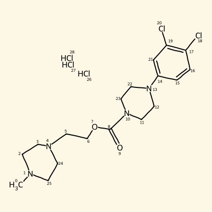 CN1CCN(CCOC(=O)N2CCN(c3ccc(Cl)c(Cl)c3)CC2)CC1.Cl.Cl.Cl